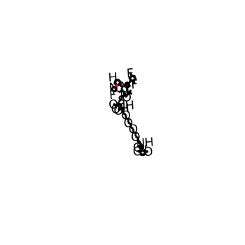 CC(C)(C)[C@H](c1cc(-c2cc(F)ccc2F)cn1Cc1ccccc1)N(CC[C@@H]1CNC[C@@H]1F)C(=O)CSC[C@H](NC(=O)CCOCCOCCOCCOCCNC(=O)CN1C(=O)C=CC1=O)C(=O)O